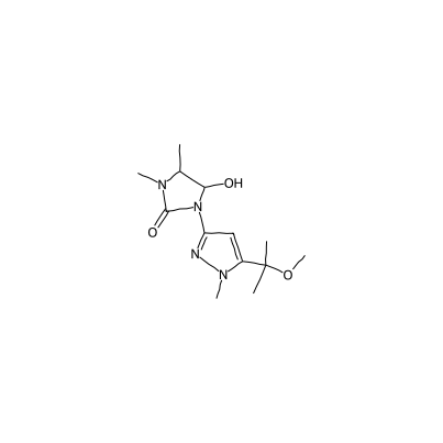 COC(C)(C)c1cc(N2C(=O)N(C)C(C)C2O)nn1C